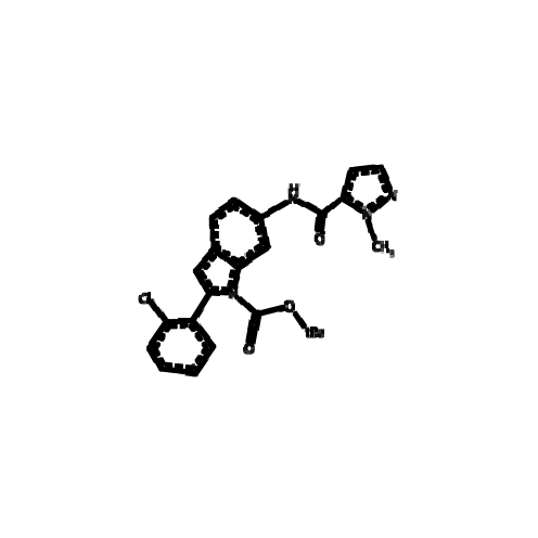 Cn1nccc1C(=O)Nc1ccc2cc(-c3ccccc3Cl)n(C(=O)OC(C)(C)C)c2c1